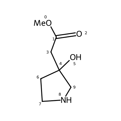 COC(=O)CC1(O)CCNC1